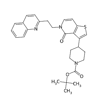 CC(C)(C)OC(=O)N1CCC(c2csc3ccn(CCc4ccc5ccccc5n4)c(=O)c23)CC1